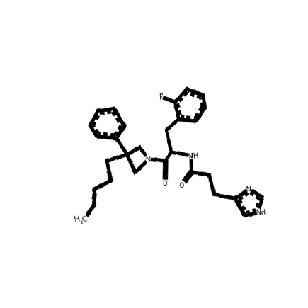 CCCCCC1(c2ccccc2)CN(C(=O)C(Cc2ccccc2F)NC(=O)CCc2c[nH]cn2)C1